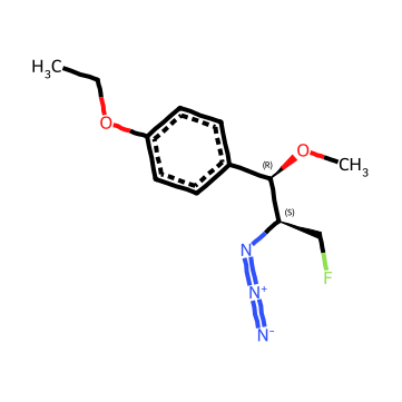 CCOc1ccc([C@@H](OC)[C@@H](CF)N=[N+]=[N-])cc1